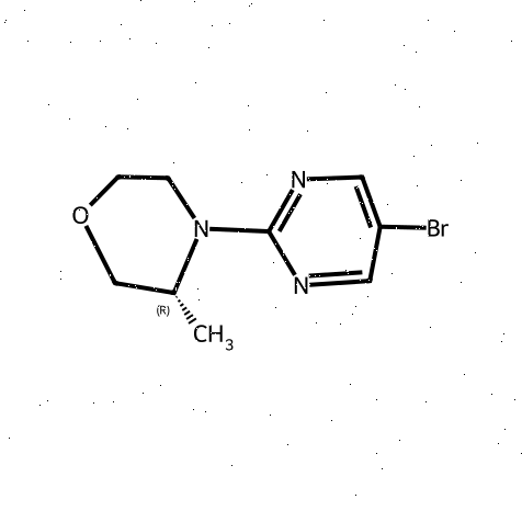 C[C@@H]1COCCN1c1ncc(Br)cn1